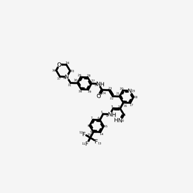 N=C/C(=C\NCc1ccc(C(F)(F)F)cc1)c1ccncc1/C=C/C(=O)Nc1ccc(CN2CCOCC2)cc1